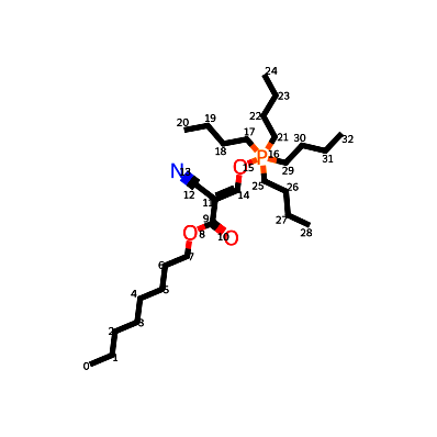 CCCCCCCCOC(=O)/C(C#N)=C/OP(CCCC)(CCCC)(CCCC)CCCC